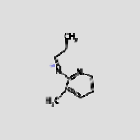 C=C/C=N\c1ncccc1C